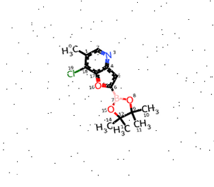 Cc1cnc2cc(B3OC(C)(C)C(C)(C)O3)oc2c1Cl